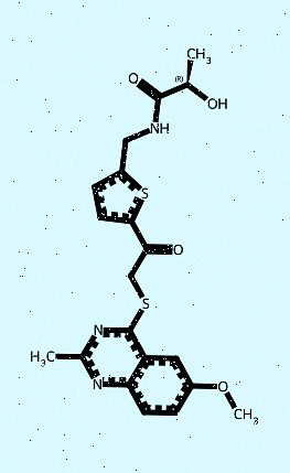 COc1ccc2nc(C)nc(SCC(=O)c3ccc(CNC(=O)[C@@H](C)O)s3)c2c1